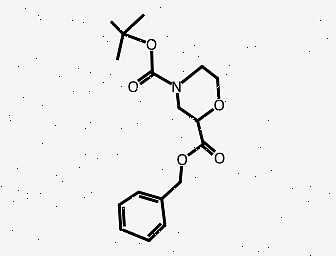 CC(C)(C)OC(=O)N1CCOC(C(=O)OCc2ccccc2)C1